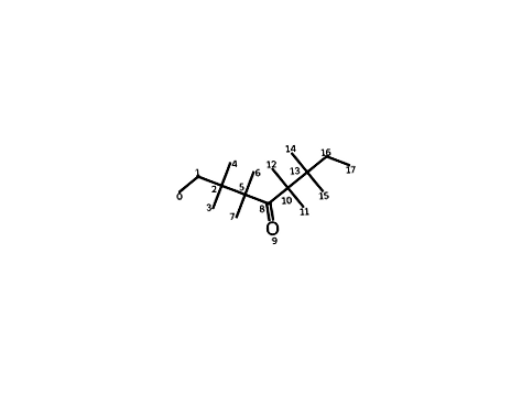 CCC(C)(C)C(C)(C)C(=O)C(C)(C)C(C)(C)CC